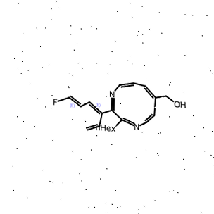 C=C/C(=C\C=C\F)c1ncccc(CO)ccnc1CCCCCC